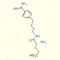 N=C(N)c1ccc(CCCCNC(=O)[C@H](N)CCC(=O)O)cc1